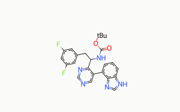 CC(C)(C)OC(=O)NC(Cc1cc(F)cc(F)c1)c1ncncc1-c1cccc2[nH]cnc12